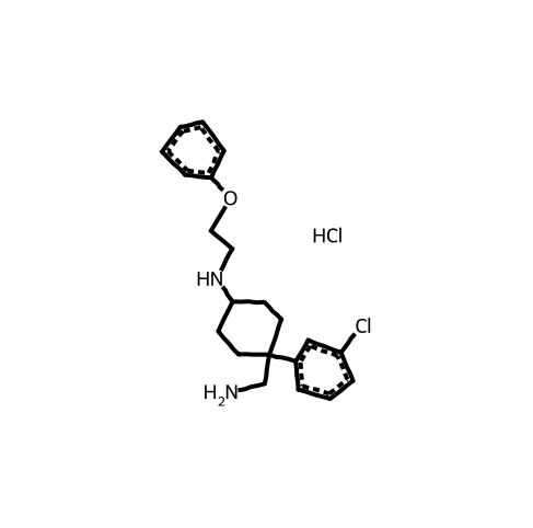 Cl.NCC1(c2cccc(Cl)c2)CCC(NCCOc2ccccc2)CC1